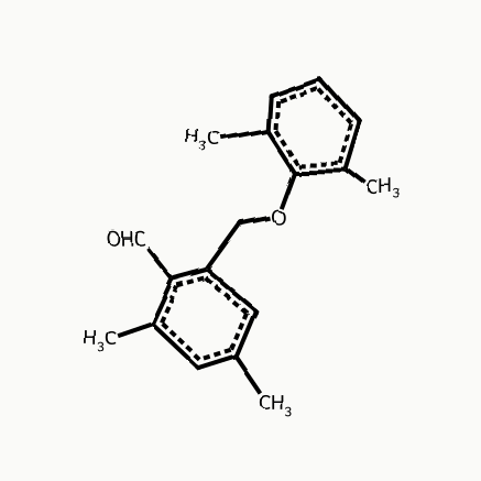 Cc1cc(C)c(C=O)c(COc2c(C)cccc2C)c1